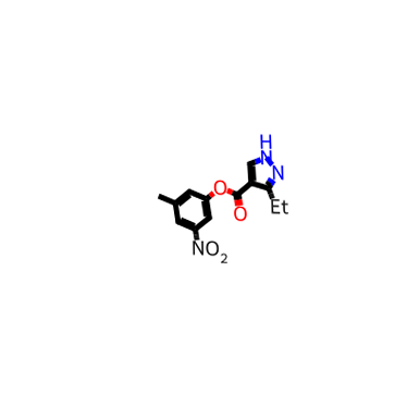 CCc1n[nH]cc1C(=O)Oc1cc(C)cc([N+](=O)[O-])c1